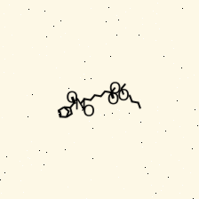 CCCCOC(C)OC(=O)CCCCCN(C=O)C(=O)C1CC2C=CC1C2